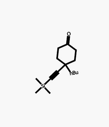 CCCCC1(C#C[Si](C)(C)C)CCC(=O)CC1